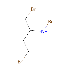 BrCCC(CBr)NBr